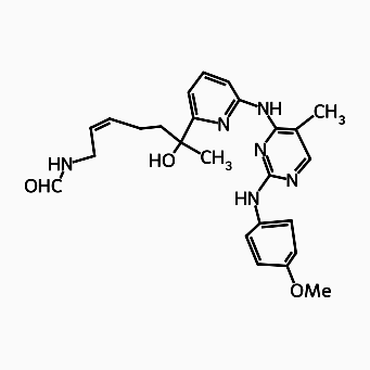 COc1ccc(Nc2ncc(C)c(Nc3cccc(C(C)(O)CC/C=C\CNC=O)n3)n2)cc1